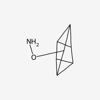 NOC1C2C3C2C2C1C32